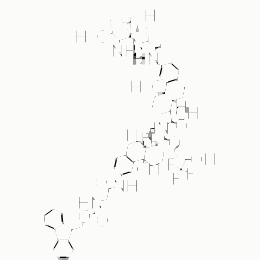 CC(NC(=O)C(N)C(C)C)C(=O)Nc1ccc2c(c1)[C@@]1(C)CCC[C@](C)(C(=O)NC(=O)[C@@]3(C)CCC[C@]4(C)c5cc(NC(=O)CNC(=O)OCC6c7ccccc7-c7ccccc76)ccc5CC[C@@H]34)[C@@H]1CC2.O=C(O)C(F)(F)F